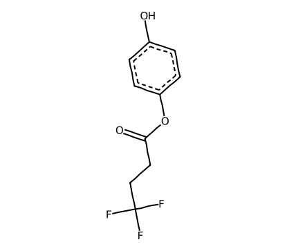 O=C(CCC(F)(F)F)Oc1ccc(O)cc1